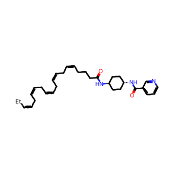 CC/C=C\C/C=C\C/C=C\C/C=C\C/C=C\CCCC(=O)N[C@H]1CC[C@H](NC(=O)c2cccnc2)CC1